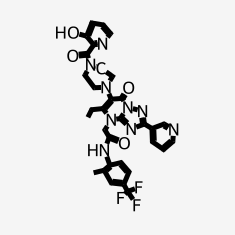 CCc1c(N2CCN(C(=O)c3ncccc3O)CC2)c(=O)n2nc(-c3cccnc3)nc2n1CC(=O)Nc1ccc(C(F)(F)F)cc1C